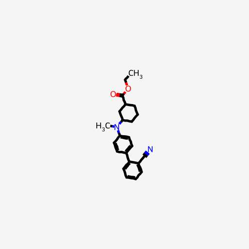 CCOC(=O)C1CCCC(N(C)c2ccc(-c3ccccc3C#N)cc2)C1